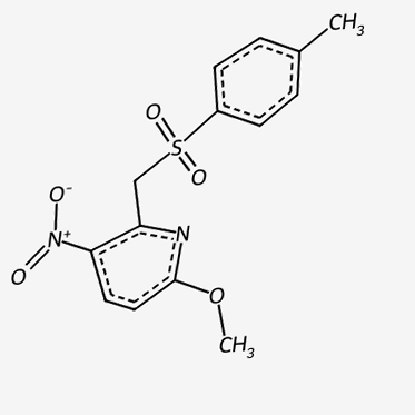 COc1ccc([N+](=O)[O-])c(CS(=O)(=O)c2ccc(C)cc2)n1